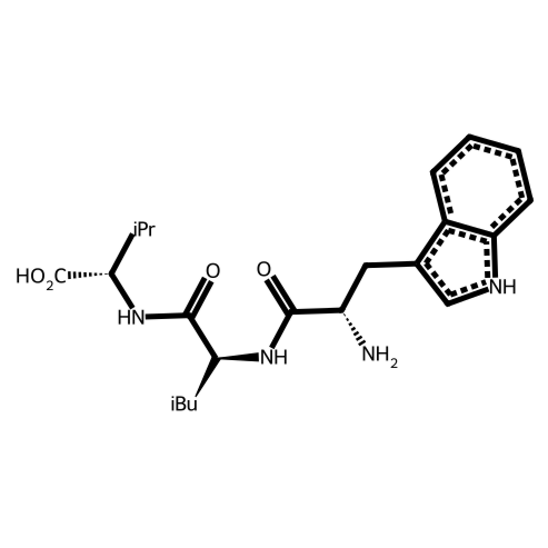 CC[C@H](C)[C@H](NC(=O)[C@@H](N)Cc1c[nH]c2ccccc12)C(=O)N[C@H](C(=O)O)C(C)C